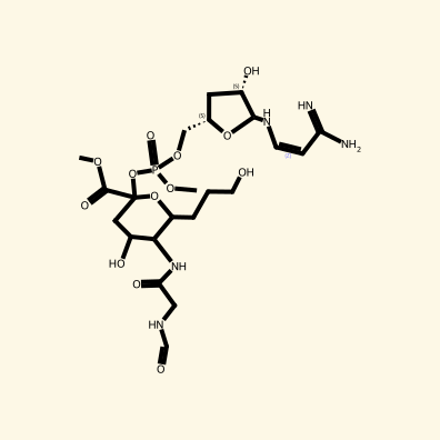 COC(=O)C1(OP(=O)(OC)OC[C@@H]2C[C@H](O)C(N/C=C\C(=N)N)O2)CC(O)C(NC(=O)CNC=O)C(CCCO)O1